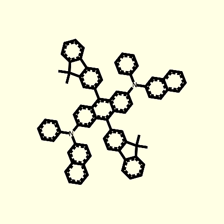 CC1(C)c2ccccc2-c2ccc(-c3c4ccc(N(c5ccccc5)c5ccc6ccccc6c5)cc4c(-c4ccc5c(c4)C(C)(C)c4ccccc4-5)c4ccc(N(c5ccccc5)c5ccc6ccccc6c5)cc34)cc21